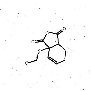 O=C1NC(=O)C2(SCCl)C=CCCC12